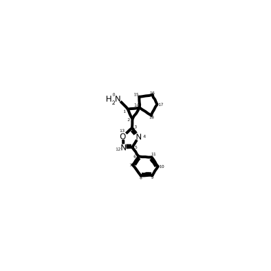 NC1C(c2nc(-c3ccccc3)no2)C12CCCC2